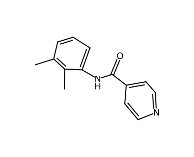 Cc1cccc(NC(=O)c2ccncc2)c1C